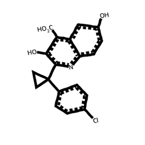 O=C(O)c1c(O)c(C2(c3ccc(Cl)cc3)CC2)nc2ccc(O)cc12